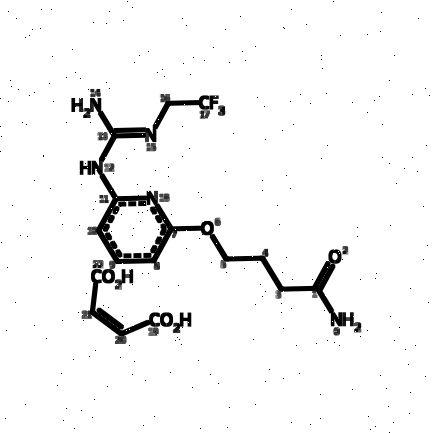 NC(=O)CCCOc1cccc(NC(N)=NCC(F)(F)F)n1.O=C(O)/C=C\C(=O)O